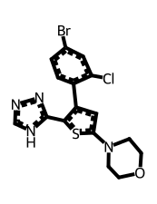 Clc1cc(Br)ccc1-c1cc(N2CCOCC2)sc1-c1nnc[nH]1